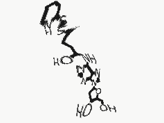 OCC1OC(n2cnc3c(NC(O)CCCSSC4C=CC=CN4)ncnc32)CC1O